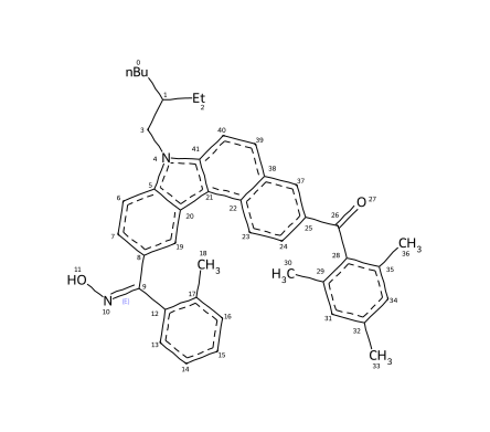 CCCCC(CC)Cn1c2ccc(/C(=N\O)c3ccccc3C)cc2c2c3ccc(C(=O)c4c(C)cc(C)cc4C)cc3ccc21